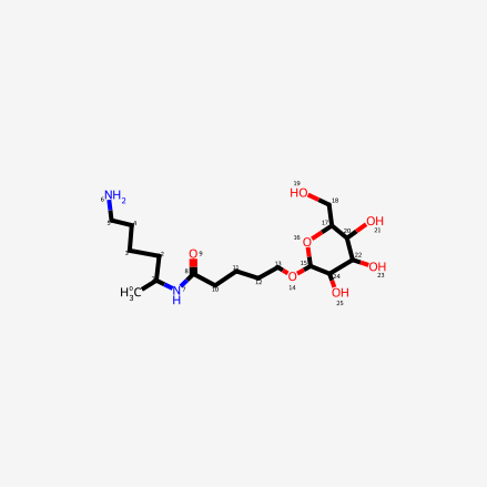 CC(CCCCN)NC(=O)CCCCOC1OC(CO)C(O)C(O)C1O